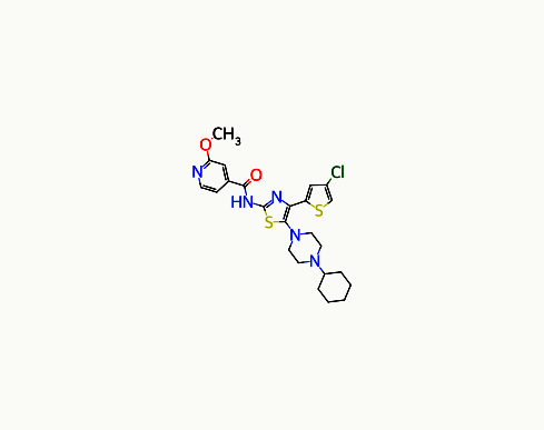 COc1cc(C(=O)Nc2nc(-c3cc(Cl)cs3)c(N3CCN(C4CCCCC4)CC3)s2)ccn1